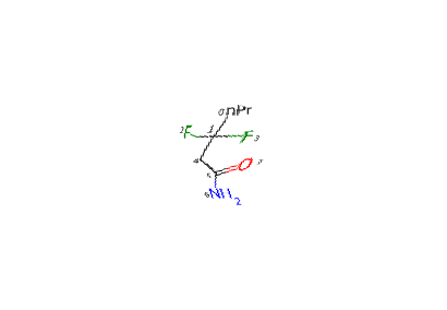 CCCC(F)(F)CC(N)=O